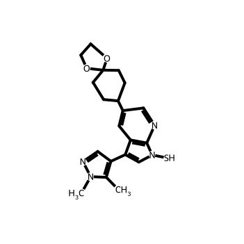 Cc1c(-c2cn(S)c3ncc(C4CCC5(CC4)OCCO5)cc23)cnn1C